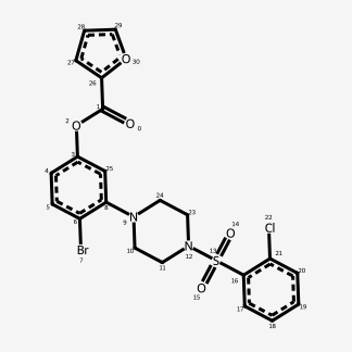 O=C(Oc1ccc(Br)c(N2CCN(S(=O)(=O)c3ccccc3Cl)CC2)c1)c1ccco1